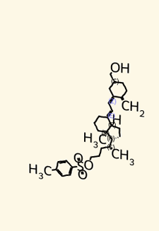 C=C1CC[C@H](CO)C/C1=C/C=C1\CCC[C@]2(C)[C@@H]([C@@H](C)CCCOS(=O)(=O)c3ccc(C)cc3)CC[C@@H]12